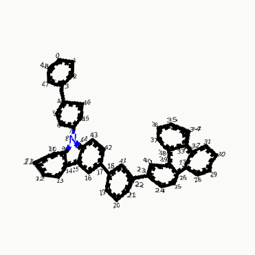 c1ccc(-c2ccc(-n3c4ccccc4c4cc(-c5cccc(-c6ccc7c8ccccc8c8ccccc8c7c6)c5)ccc43)cc2)cc1